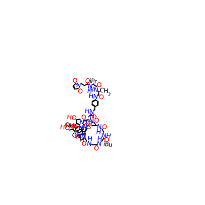 CC[C@H](C)[C@@H]1NC(=O)CNC(=O)[C@@H]2Cc3c([nH]c4cc(O)ccc34)S(=O)(=O)CC(NC(=O)CNC1=O)C(=O)N[C@@H](CC(=O)NCc1ccc(NC(=O)[C@H](C)NC(=O)[C@@H](NC(=O)CCN3C(=O)C=CC3=O)C(C)C)cc1)C(=O)N1C[C@H](O)C[C@]1(C=O)N[C@@H]([C@@H](C)[C@@H](O)CO)C(=O)N2